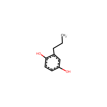 [CH2]CCc1cc(O)ccc1O